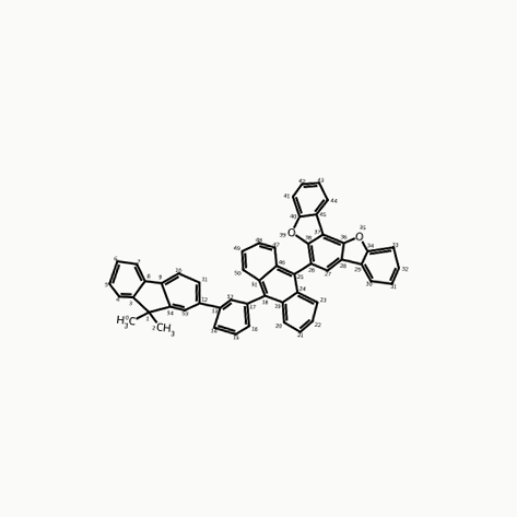 CC1(C)c2ccccc2-c2ccc(-c3cccc(-c4c5ccccc5c(-c5cc6c7ccccc7oc6c6c5oc5ccccc56)c5ccccc45)c3)cc21